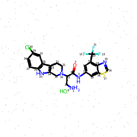 Cl.NCC(C(=O)Nc1cc(C(F)(F)F)c2ncsc2c1)N1CCc2c([nH]c3ccc(Cl)cc23)C1